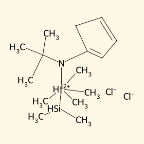 C[SiH](C)[Hf+2]([CH3])([CH3])([CH3])([CH3])[N](C1=CC=CC1)C(C)(C)C.[Cl-].[Cl-]